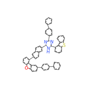 c1ccc(-c2ccc(C3=NC(c4ccc5cc(-c6cccc7oc8ccc(-c9ccc(-c%10ccccc%10)cc9)cc8c67)ccc5c4)NC(c4cccc5sc6ccccc6c45)=N3)cc2)cc1